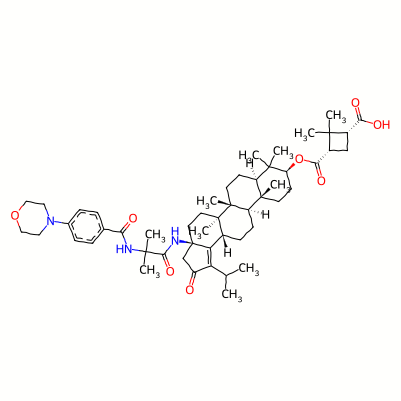 CC(C)C1=C2[C@H]3CC[C@@H]4[C@@]5(C)CC[C@H](OC(=O)[C@H]6C[C@@H](C(=O)O)C6(C)C)C(C)(C)[C@@H]5CC[C@@]4(C)[C@]3(C)CC[C@@]2(NC(=O)C(C)(C)NC(=O)c2ccc(N3CCOCC3)cc2)CC1=O